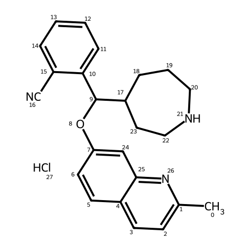 Cc1ccc2ccc(OC(c3ccccc3C#N)C3CCCNCC3)cc2n1.Cl